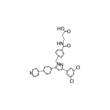 O=C(O)CCNC(=O)c1ccc(Cn2nc(-c3cc(Cl)cc(Cl)c3)cc2-c2ccc(-c3ccncc3)cc2)cc1